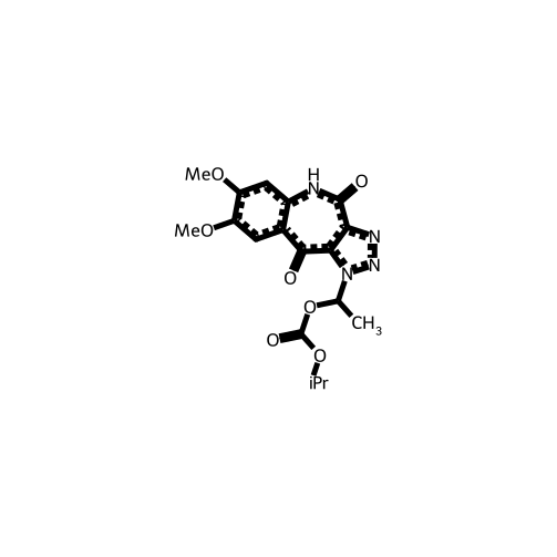 COc1cc2[nH]c(=O)c3nnn(C(C)OC(=O)OC(C)C)c3c(=O)c2cc1OC